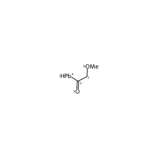 COC[C](=O)[PbH]